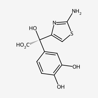 Nc1nc([C@@](O)(C(=O)O)c2ccc(O)c(O)c2)cs1